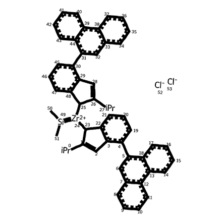 CC(C)C1=Cc2c(-c3cc4ccccc4c4ccccc34)cccc2[CH]1[Zr+2]([CH]1C(C(C)C)=Cc2c(-c3cc4ccccc4c4ccccc34)cccc21)=[Si](C)C.[Cl-].[Cl-]